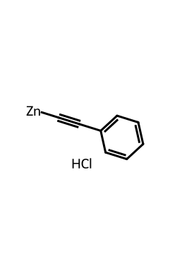 Cl.[Zn][C]#Cc1ccccc1